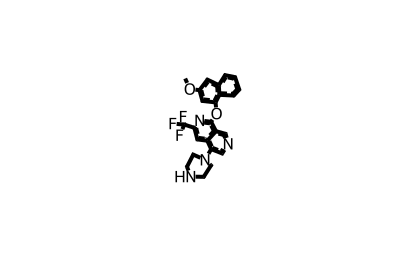 COc1cc(Oc2nc(C(F)(F)F)cc3c(N4CCNCC4)cncc23)c2ccccc2c1